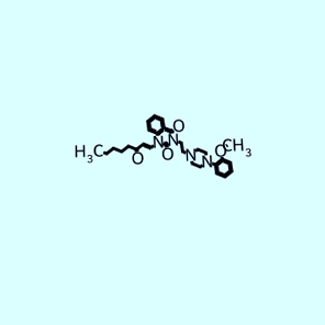 CCCCCC(=O)C=Cn1c(=O)n(CCN2CCN(c3ccccc3OC)CC2)c(=O)c2ccccc21